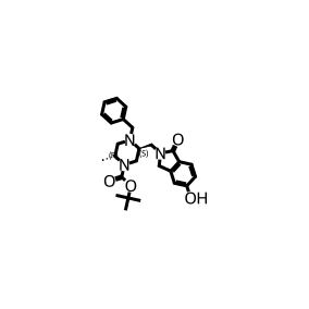 C[C@@H]1CN(Cc2ccccc2)[C@@H](CN2Cc3cc(O)ccc3C2=O)CN1C(=O)OC(C)(C)C